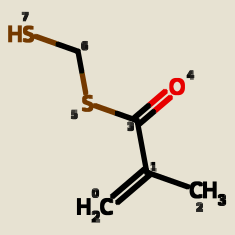 C=C(C)C(=O)SCS